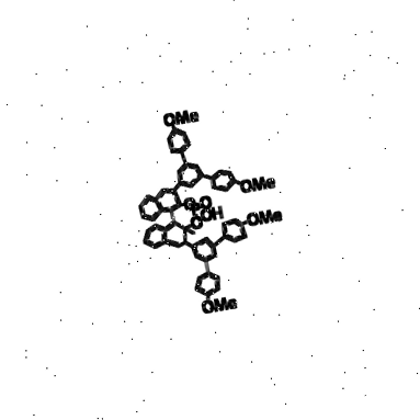 COc1ccc(-c2cc(-c3ccc(OC)cc3)cc(-c3cc4ccccc4c4c3OP(=O)(O)OC3(C)C4=c4ccccc4=CC3c3cc(-c4ccc(OC)cc4)cc(-c4ccc(OC)cc4)c3)c2)cc1